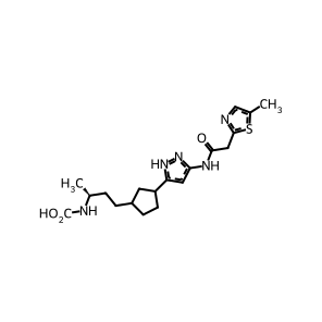 Cc1cnc(CC(=O)Nc2cc(C3CCC(CC[C@H](C)NC(=O)O)C3)[nH]n2)s1